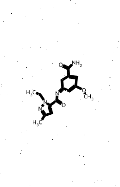 CCn1nc(C)cc1C(=O)/N=C1\C=C(OC)C=C(C(N)=O)C1